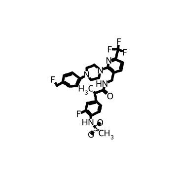 CC(C(=O)NCc1ccc(C(F)(F)F)nc1N1CCN(c2ccc(CF)cc2)CC1)c1ccc(NS(C)(=O)=O)c(F)c1